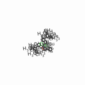 Cc1ccc2c(c1-c1cc([Si](C)(C)C)cc([Si](C)(C)C)c1)C=C(C(C)(C)C)[CH]2[Zr]([Cl])([Cl])([c]1cccc2c1[SiH2]c1ccccc1-2)[CH]1C(C(C)(C)C)=Cc2c1ccc(C)c2-c1cc([Si](C)(C)C)cc([Si](C)(C)C)c1